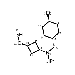 CC[C@H]1CC[C@H](CN(C(C)C)[C@H]2C[C@H](OS)C2)CC1